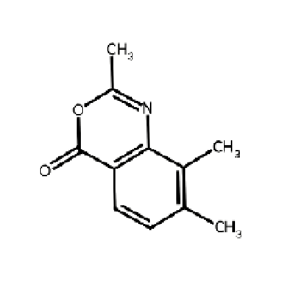 Cc1nc2c(C)c(C)ccc2c(=O)o1